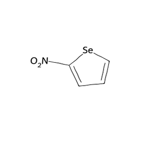 O=[N+]([O-])c1ccc[se]1